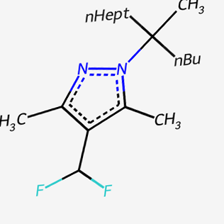 CCCCCCCC(C)(CCCC)n1nc(C)c(C(F)F)c1C